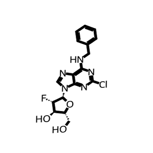 OC[C@H]1O[C@@H](n2cnc3c(NCc4ccccc4)nc(Cl)nc32)[C@@H](F)[C@@H]1O